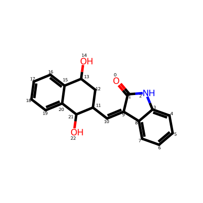 O=C1Nc2ccccc2C1=CC1CC(O)c2ccccc2C1O